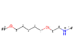 CCOCCCCCOCCNC(C)C